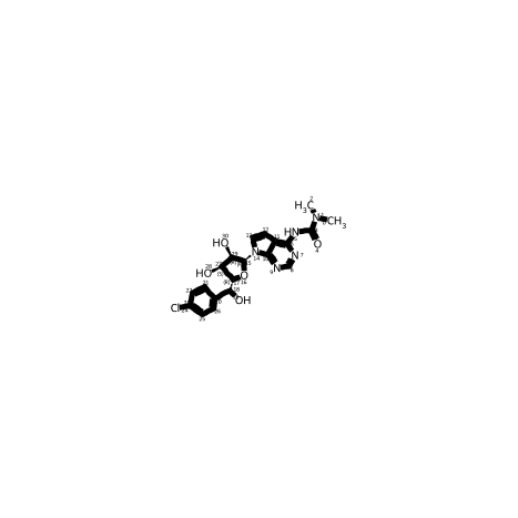 CN(C)C(=O)Nc1ncnc2c1ccn2[C@@H]1O[C@H](C(O)c2ccc(Cl)cc2)[C@@H](O)[C@H]1O